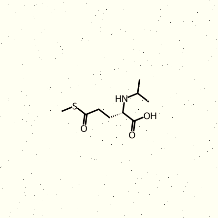 CSC(=O)CC[C@H](NC(C)C)C(=O)O